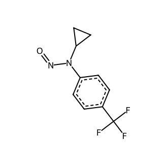 O=NN(c1ccc(C(F)(F)F)cc1)C1CC1